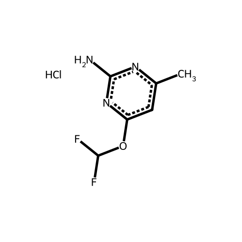 Cc1cc(OC(F)F)nc(N)n1.Cl